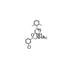 C/N=C(\C=C(/N)OC(CNC(C)=O)c1cccc(Cl)c1)c1c(C)cccc1C